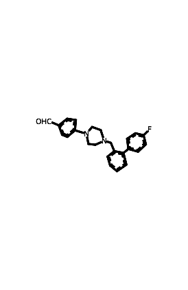 O=Cc1ccc(N2CCN(Cc3ccccc3-c3ccc(F)cc3)CC2)cc1